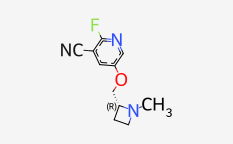 CN1CC[C@@H]1COc1cnc(F)c(C#N)c1